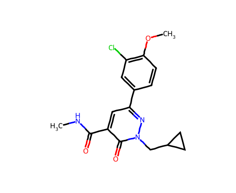 CNC(=O)c1cc(-c2ccc(OC)c(Cl)c2)nn(CC2CC2)c1=O